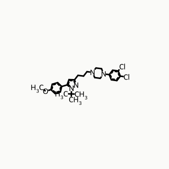 COc1ccc(-c2cc(CCCN3CCN(c4ccc(Cl)c(Cl)c4)CC3)nn2C(C)(C)C)cc1